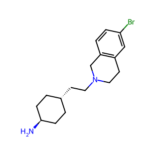 N[C@H]1CC[C@H](CCN2CCc3cc(Br)ccc3C2)CC1